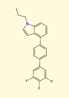 CCCn1ccc2c(-c3ccc(-c4cc(F)c(F)c(F)c4)cc3)cccc21